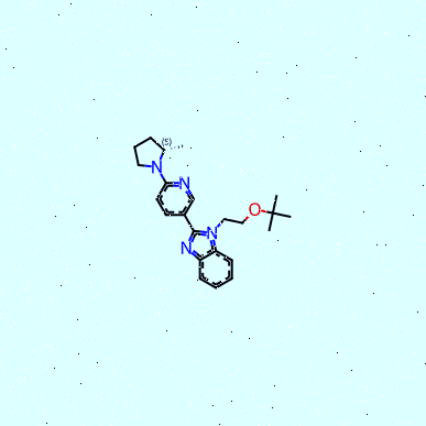 C[C@H]1CCCN1c1ccc(-c2nc3ccccc3n2CCOC(C)(C)C)cn1